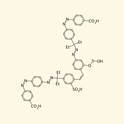 CCC(CC)(N=Nc1ccc(/C=C\c2ccc(C(CC)(CC)N=Nc3ccc(/N=N\c4ccc(C(=O)O)cc4)cc3)cc2S(=O)(=O)O)c(OSO)c1)c1ccc(/N=N\c2ccc(C(=O)O)cc2)cc1